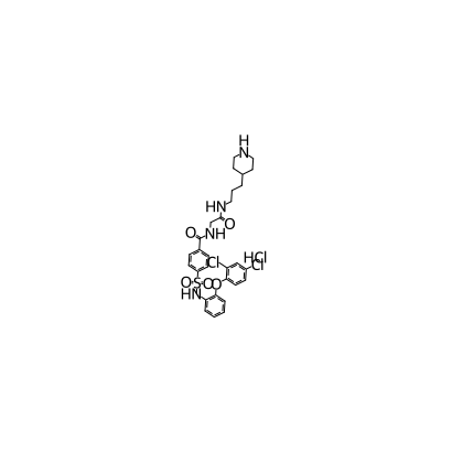 Cl.O=C(CNC(=O)c1ccc(S(=O)(=O)Nc2ccccc2Oc2ccc(Cl)cc2Cl)cc1)NCCCC1CCNCC1